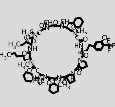 CCCCC[C@H]1C(=O)N[C@@H]([C@@H](C)CC)C(=O)N(C)CC(=O)N(C)CC(=O)N(C)[C@@H](CC2CCCCC2)C(=O)N(C)CC(=O)N[C@@H](CCc2ccc(C(F)(F)F)c(Cl)c2)C(=O)N2CCC[C@H]2C(=O)NC2(CCCC2)C(=O)N(C)[C@@H](C2CCCCC2)C(=O)N(C)[C@H](C(=O)N2CCCCC2)CC(=O)N1C